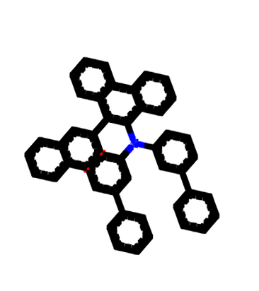 c1ccc(-c2cccc(N(c3cccc(-c4ccccc4)c3)c3c(-c4ccc5ccccc5c4)c4ccccc4c4ccccc34)c2)cc1